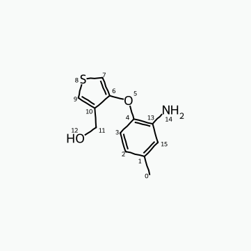 Cc1ccc(Oc2cscc2CO)c(N)c1